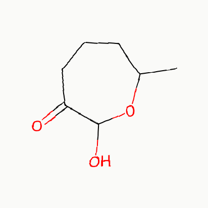 CC1CCCC(=O)C(O)O1